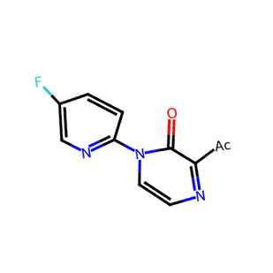 CC(=O)c1nccn(-c2ccc(F)cn2)c1=O